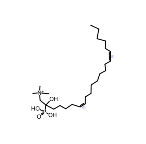 CCCCC/C=C\CCCCCCC/C=C\CCCCC(O)(C[N+](C)(C)C)P(=O)(O)O